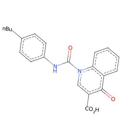 CCCCc1ccc(NC(=O)n2cc(C(=O)O)c(=O)c3ccccc32)cc1